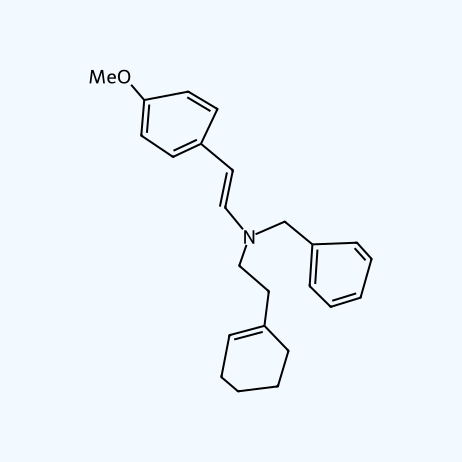 COc1ccc(/C=C/N(CCC2=CCCCC2)Cc2ccccc2)cc1